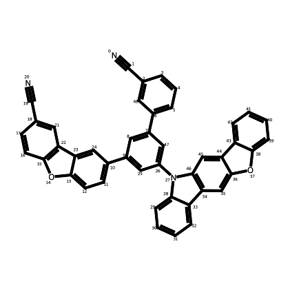 N#Cc1cccc(-c2cc(-c3ccc4oc5ccc(C#N)cc5c4c3)cc(-n3c4ccccc4c4cc5oc6ccccc6c5cc43)c2)c1